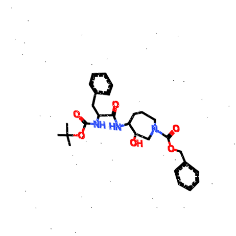 CC(C)(C)OC(=O)NC(Cc1ccccc1)C(=O)NC1CCCN(C(=O)OCc2ccccc2)CC1O